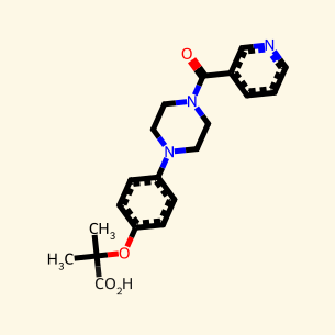 CC(C)(Oc1ccc(N2CCN(C(=O)c3cccnc3)CC2)cc1)C(=O)O